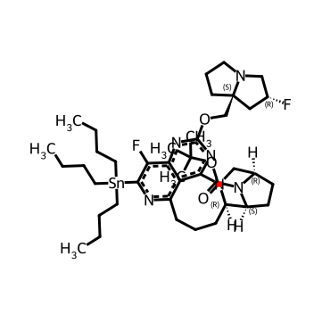 CCC[CH2][Sn]([CH2]CCC)([CH2]CCC)[c]1nc2c3c(nc(OC[C@@]45CCCN4C[C@H](F)C5)nc3c1F)N1C[C@H]3CC[C@@H]([C@H]1CCC2)N3C(=O)OC(C)(C)C